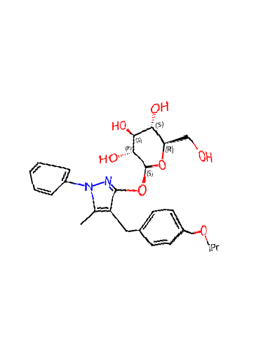 Cc1c(Cc2ccc(OC(C)C)cc2)c(O[C@@H]2O[C@H](CO)[C@@H](O)[C@H](O)[C@H]2O)nn1-c1ccccc1